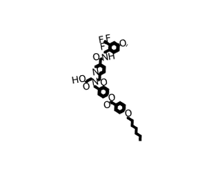 CCCCCCCOc1ccc(C(=O)Oc2ccc(CN(CC(=O)O)C(=O)c3ccc(C(=O)NCc4ccc(OC)cc4C(F)(F)F)cn3)cc2)cc1